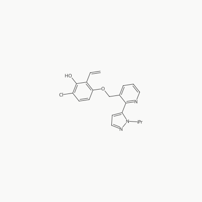 C=Cc1c(OCc2cccnc2-c2ccnn2C(C)C)ccc(Cl)c1O